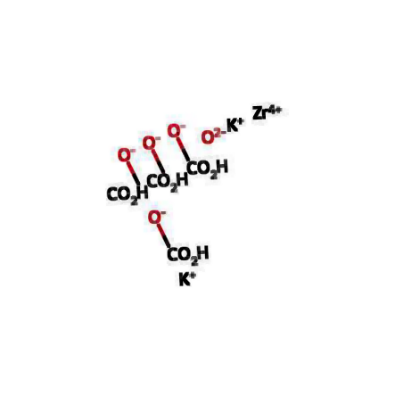 O=C([O-])O.O=C([O-])O.O=C([O-])O.O=C([O-])O.[K+].[K+].[O-2].[Zr+4]